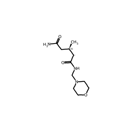 C[C@@H]([CH]C(=O)NCN1CCOCC1)CC(N)=O